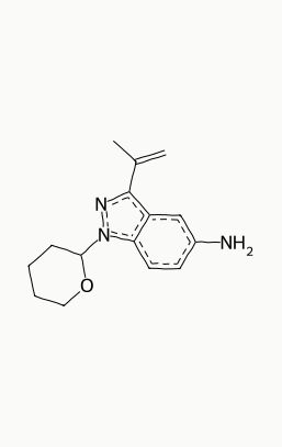 C=C(C)c1nn(C2CCCCO2)c2ccc(N)cc12